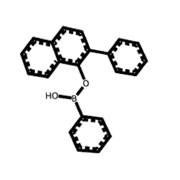 OB(Oc1c(-c2ccccc2)ccc2ccccc12)c1ccccc1